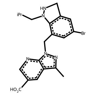 Cc1nn(Cc2cc(Br)cc3c2N(CC(C)C)NC3)c2ncc(C(=O)O)cc12